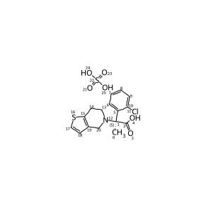 C[C@@](C(=O)O)(c1ccccc1Cl)N1CCc2sccc2C1.O=S(=O)(O)O